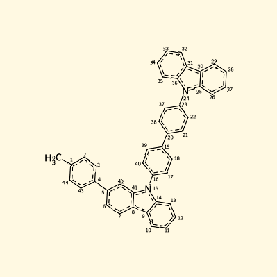 Cc1ccc(-c2ccc3c4ccccc4n(-c4ccc(-c5ccc(-n6c7ccccc7c7ccccc76)cc5)cc4)c3c2)cc1